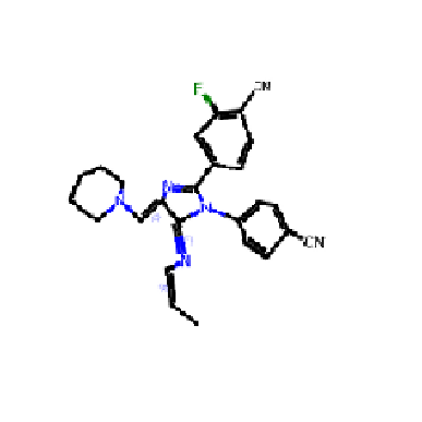 C\C=C/N=C1\C(=C\N2CCCCC2)N=C(c2ccc(C#N)c(F)c2)N1c1ccc(C#N)cc1